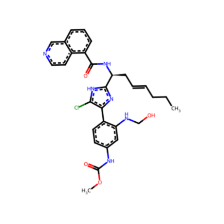 CCC/C=C/C[C@H](NC(=O)c1cccc2cnccc12)c1nc(-c2ccc(NC(=O)OC)cc2NCO)c(Cl)[nH]1